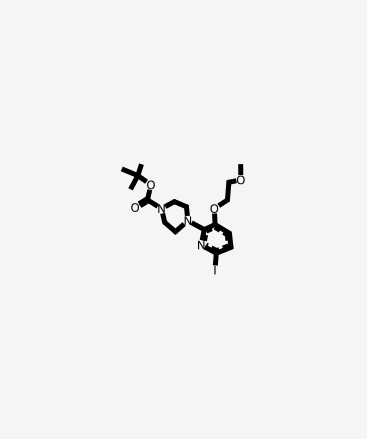 COCCOc1ccc(I)nc1N1CCN(C(=O)OC(C)(C)C)CC1